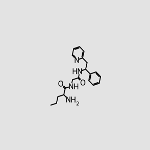 CCCC(N)C(=O)NCC(=O)NC(Cc1ccccn1)c1ccccc1